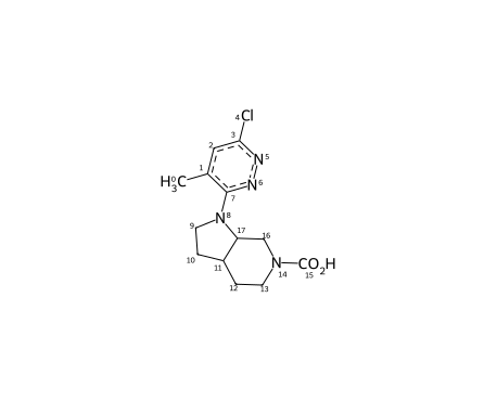 Cc1cc(Cl)nnc1N1CCC2CCN(C(=O)O)CC21